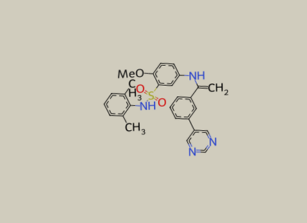 C=C(Nc1ccc(OC)c(S(=O)(=O)Nc2c(C)cccc2C)c1)c1cccc(-c2cncnc2)c1